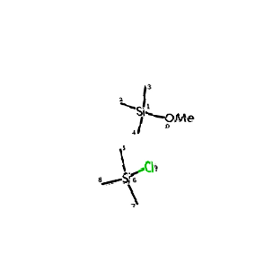 CO[Si](C)(C)C.C[Si](C)(C)Cl